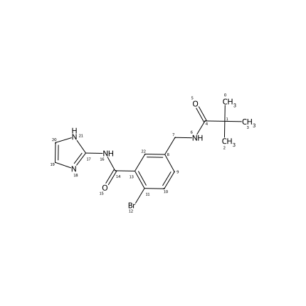 CC(C)(C)C(=O)NCc1ccc(Br)c(C(=O)Nc2ncc[nH]2)c1